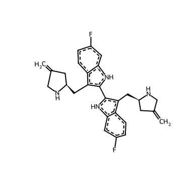 C=C1CN[C@H](Cc2c(-c3[nH]c4cc(F)ccc4c3C[C@@H]3CC(=C)CN3)[nH]c3cc(F)ccc23)C1